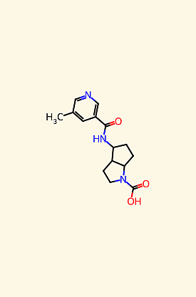 Cc1cncc(C(=O)NC2CCC3C2CCN3C(=O)O)c1